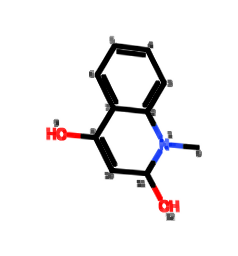 CN1c2ccccc2C(O)=CC1O